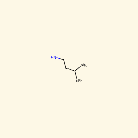 [CH2]CCC(CC[NH])CCCC